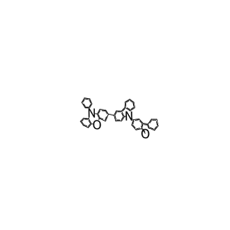 c1ccc(N2c3ccccc3Oc3cc(-c4ccc5c(c4)c4ccccc4n5-c4ccc5oc6ccccc6c5c4)ccc32)cc1